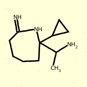 CC(N)C1(C2CC2)CCCCC(=N)N1